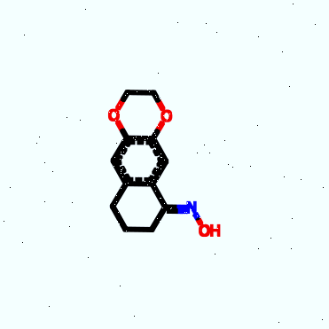 O/N=C1\CCCc2cc3c(cc21)OCCO3